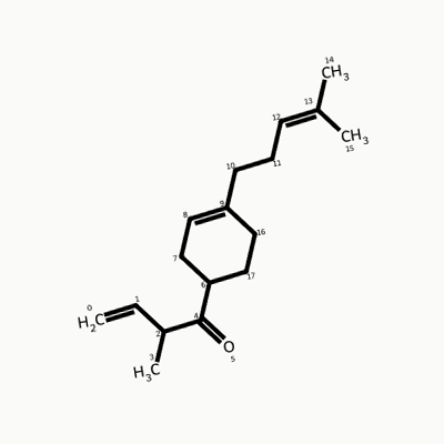 C=CC(C)C(=O)C1CC=C(CCC=C(C)C)CC1